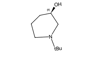 CC(C)(C)N1CCC[C@@H](O)C1